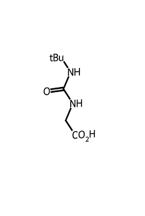 CC(C)(C)NC(=O)NCC(=O)O